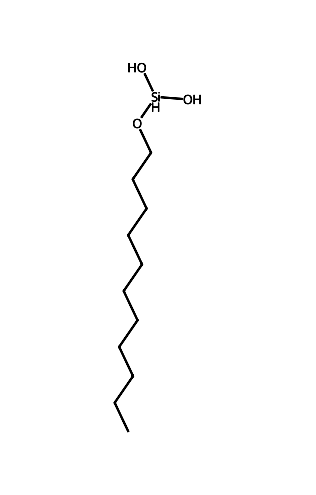 CCCCCCCCCCCO[SiH](O)O